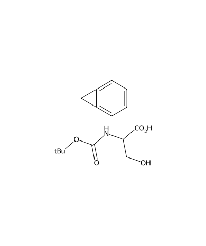 CC(C)(C)OC(=O)NC(CO)C(=O)O.c1ccc2c(c1)C2